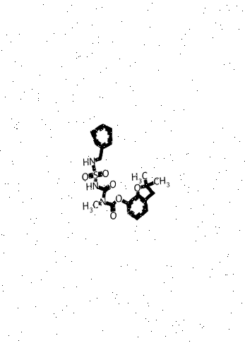 CN(C(=O)NS(=O)(=O)NCc1ccccc1)C(=O)Oc1cccc2c1OC(C)(C)C2